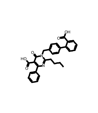 CCCCc1nc(-c2ccccc2)c(C(=O)O)c(=O)n1Cc1ccc(-c2ccccc2C(=O)O)cc1